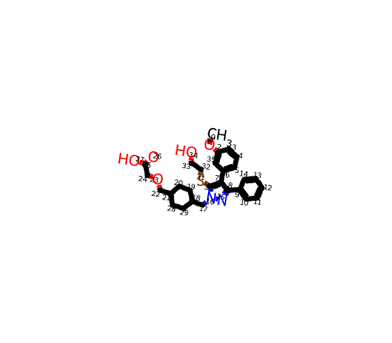 COc1cccc(-c2c(-c3ccccc3)nn(CC3CCC(COCC(=O)O)CC3)c2SCCO)c1